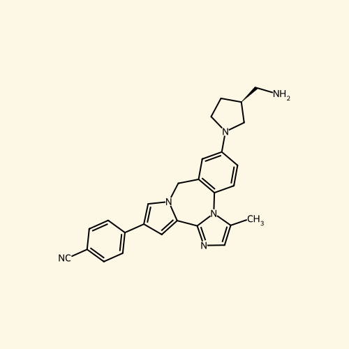 Cc1cnc2n1-c1ccc(N3CC[C@@H](CN)C3)cc1Cn1cc(-c3ccc(C#N)cc3)cc1-2